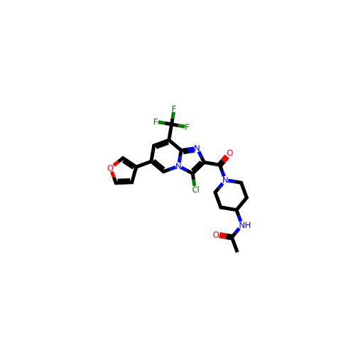 CC(=O)NC1CCN(C(=O)c2nc3c(C(F)(F)F)cc(-c4ccoc4)cn3c2Cl)CC1